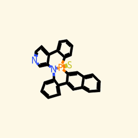 S=P12c3ccccc3-c3ccncc3N1c1ccccc1-c1cc3ccccc3cc12